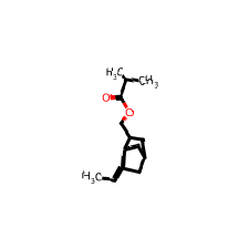 CC=C1CC2CC(COC(=O)C(C)C)C1C2